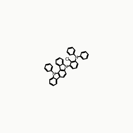 Clc1c(N(c2ccccc2)c2ccccc2)cccc1-n1c2ccccc2c2c1ccc1c3ccccc3n(-c3ccccc3)c12